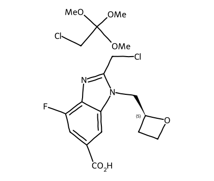 COC(CCl)(OC)OC.O=C(O)c1cc(F)c2nc(CCl)n(C[C@@H]3CCO3)c2c1